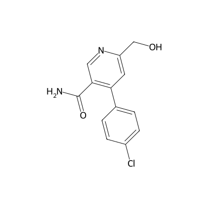 NC(=O)c1cnc(CO)cc1-c1ccc(Cl)cc1